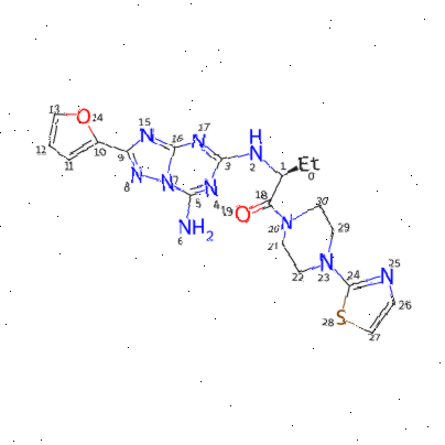 CC[C@H](Nc1nc(N)n2nc(-c3ccco3)nc2n1)C(=O)N1CCN(c2nccs2)CC1